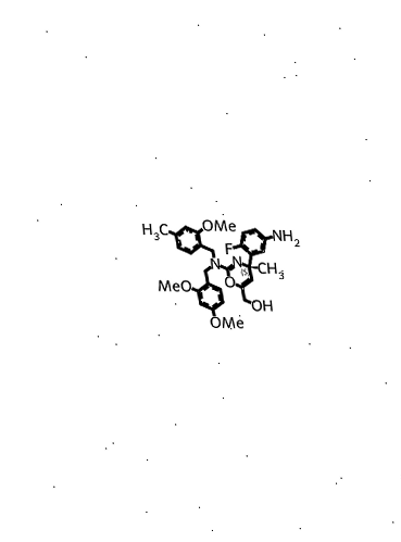 COc1ccc(CN(Cc2ccc(C)cc2OC)C2=N[C@](C)(c3cc(N)ccc3F)C=C(CO)O2)c(OC)c1